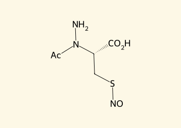 CC(=O)N(N)[C@@H](CSN=O)C(=O)O